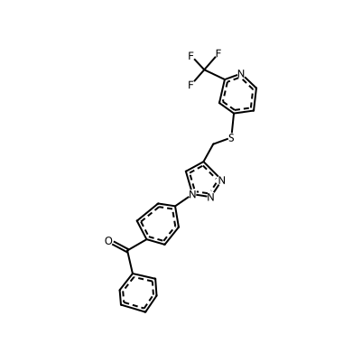 O=C(c1ccccc1)c1ccc(-n2cc(CSc3ccnc(C(F)(F)F)c3)nn2)cc1